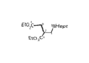 CCCCCCCCC(CC(=O)OCC)C(=O)OCC